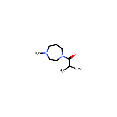 COC(C)C(=O)N1CCCN(C)CC1